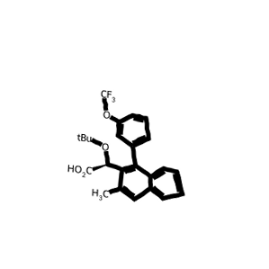 Cc1cc2ccccc2c(-c2cccc(OC(F)(F)F)c2)c1[C@H](OC(C)(C)C)C(=O)O